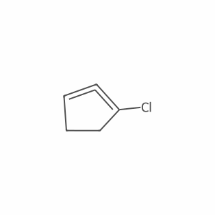 ClC1=C=CCC1